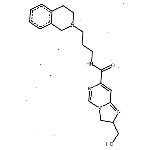 O=C(NCCCN1CCc2ccccc2C1)C1=CC2=NC(CO)CN2C=N1